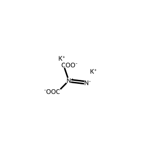 [K+].[K+].[N-]=[N+](C(=O)[O-])C(=O)[O-]